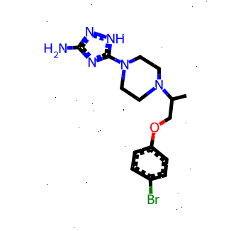 CC(COc1ccc(Br)cc1)N1CCN(c2nc(N)n[nH]2)CC1